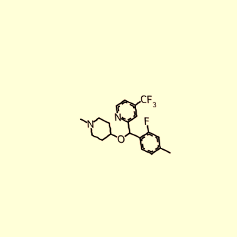 Cc1ccc(C(OC2CCN(C)CC2)c2cc(C(F)(F)F)ccn2)c(F)c1